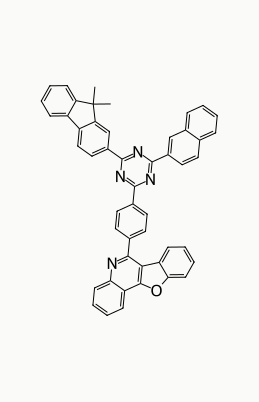 CC1(C)c2ccccc2-c2ccc(-c3nc(-c4ccc(-c5nc6ccccc6c6oc7ccccc7c56)cc4)nc(-c4ccc5ccccc5c4)n3)cc21